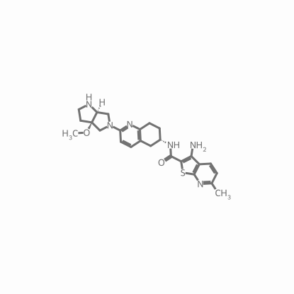 CO[C@@]12CCN[C@H]1CN(c1ccc3c(n1)CC[C@H](NC(=O)c1sc4nc(C)ccc4c1N)C3)C2